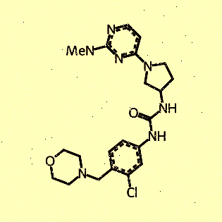 CNc1nccc(N2CCC(NC(=O)Nc3ccc(CN4CCOCC4)c(Cl)c3)C2)n1